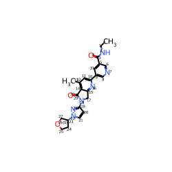 CCNC(=O)c1cncc(-c2cc(C)c3c(n2)CN(c2ccn([C@H]4CCOC4)n2)C3=O)c1